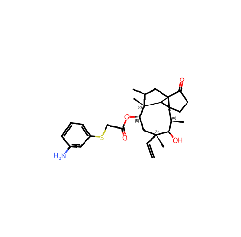 C=C[C@]1(C)C[C@@H](OC(=O)CSc2cccc(N)c2)[C@]2(C)C(C)CC34C(=O)CCC3(C42)[C@@H](C)C1O